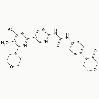 CC(=O)c1nc(-c2cnc(NC(=O)Nc3ccc(N4CCOCC4=O)cc3)nc2)nc(N2CCOCC2)c1C